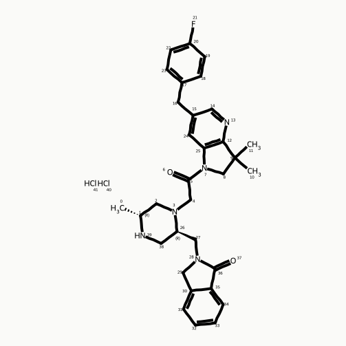 C[C@@H]1CN(CC(=O)N2CC(C)(C)c3ncc(Cc4ccc(F)cc4)cc32)[C@@H](CN2Cc3ccccc3C2=O)CN1.Cl.Cl